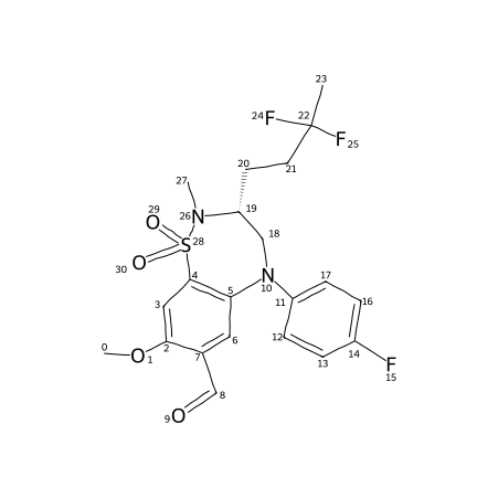 COc1cc2c(cc1C=O)N(c1ccc(F)cc1)C[C@@H](CCC(C)(F)F)N(C)S2(=O)=O